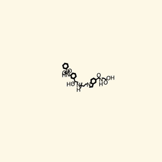 CC(C)(CCn1ccc2cc(C(=O)NCC(=O)O)ccc21)NC[C@@H](O)c1cccc(NS(=O)(=O)c2ccccc2)c1